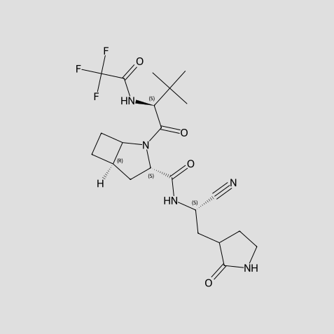 CC(C)(C)[C@H](NC(=O)C(F)(F)F)C(=O)N1C2CC[C@@H]2C[C@H]1C(=O)N[C@H](C#N)CC1CCNC1=O